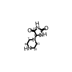 O=C1NC(=O)C(N2CCNCC2)N1